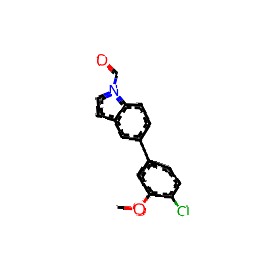 COc1cc(-c2ccc3c(ccn3C=O)c2)ccc1Cl